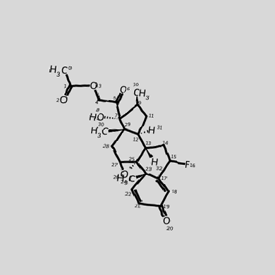 CC(=O)OCC(=O)[C@@]1(O)C(C)C[C@H]2[C@@H]3CC(F)C4=CC(=O)C=C[C@]4(C)[C@]34OC4C[C@@]21C